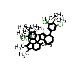 CCc1cc(C2(C3=C(C)C=C4C3=CC=CCC4c3cc(Cl)c([Si](C)(C)C)c(Cl)c3)C(=[SiH2])C=CC3=C2[C]([Hf]([Cl])[Cl])=C(C)C3C)cc(C)c1[Si](C)(C)C